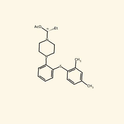 CC[C@@H](OC(C)=O)N1CCN(c2ccccc2Sc2ccc(C)cc2C)CC1